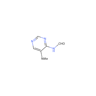 CNc1cncnc1NC=O